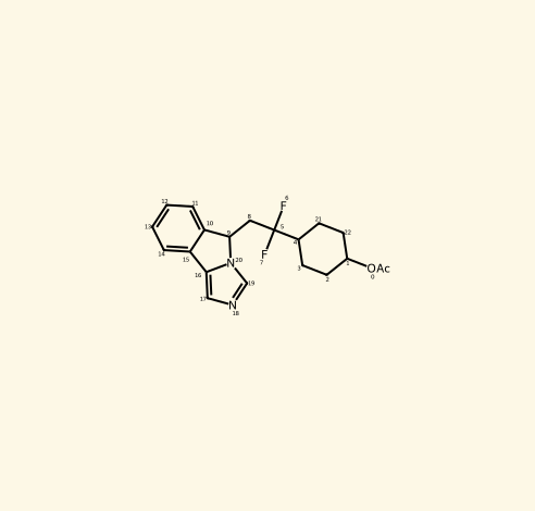 CC(=O)OC1CCC(C(F)(F)CC2c3ccccc3-c3cncn32)CC1